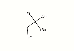 CCC(O)(CC(C)C)C(C)(C)C